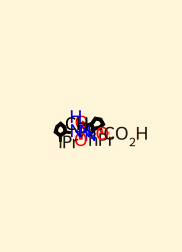 CCCn1c2c(OC(=O)O)cccc2c(=O)n1C(=O)NCc1c(C)cccc1C(C)C